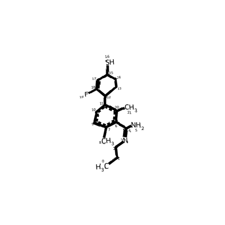 CCC/N=C(/N)c1c(C)ccc(C2CCC(S)C=C2F)c1C